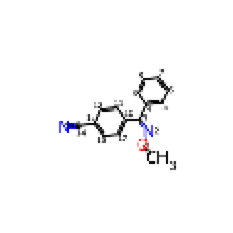 CON=C(c1ccccc1)c1ccc(C#N)cc1